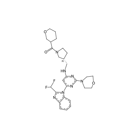 O=C(C1CCCOC1)N1CC[C@H](CNc2cc(-n3c(C(F)F)nc4ccccc43)nc(N3CCOCC3)n2)C1